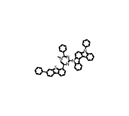 CN1C=C(c2cccc3c2sc2cc(-c4ccccc4)ccc23)N=C(n2c3ccccc3c3c4c5ccccc5n(-c5ccccc5)c4ccc32)N=C1c1ccccc1